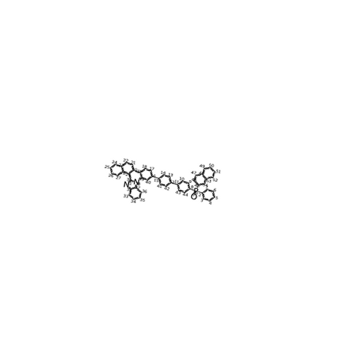 O=P(c1ccccc1)(c1ccc(-c2ccc(-c3ccc4c5ccc6ccccc6c5c5nc6ccccc6n5c4c3)cc2)cc1)c1ccc2ccccc2c1